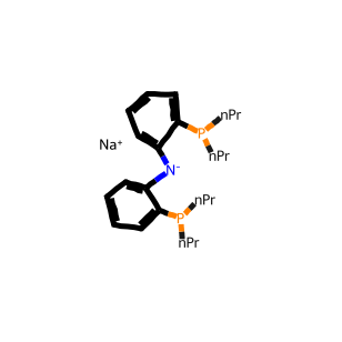 CCCP(CCC)c1ccccc1[N-]c1ccccc1P(CCC)CCC.[Na+]